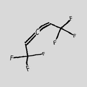 FC(F)(F)C=C=CC(F)(F)F